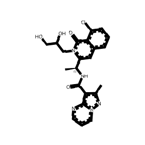 Cc1nn2cccnc2c1C(=O)N[C@@H](C)c1cc2cccc(Cl)c2c(=O)n1CC(O)CO